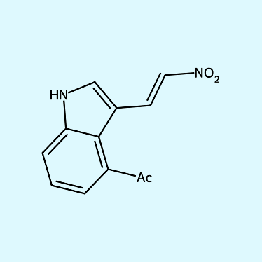 CC(=O)c1cccc2[nH]cc(/C=C/[N+](=O)[O-])c12